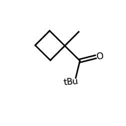 CC(C)(C)C(=O)C1(C)CCC1